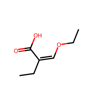 CCO/C=C(/CC)C(=O)O